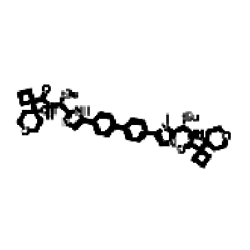 CC(C)(C)[C@H](NC(=O)C1(C2(O)CCOCC2)CCC1)c1ncc(-c2ccc(-c3ccc(-c4cnc([C@@H](NC(=O)C5(C6(O)CCOCC6)CCC5)C(C)(C)C)[nH]4)cc3)cc2)[nH]1